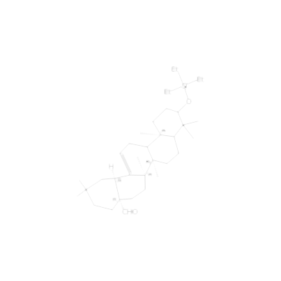 CC[Si](CC)(CC)OC1CC[C@@]2(C)C(CC[C@]3(C)C2CC=C2[C@@H]4CC(C)(C)CC[C@]4(C=O)CC[C@@]23C)C1(C)C